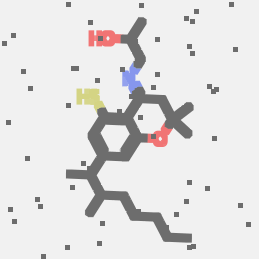 CCCCCC(C)C(C)c1cc(S)c2c(c1)OC(C)(C)CC2=NCC(C)O